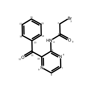 O=C(CBr)Nc1nccnc1C(=O)c1ccccc1